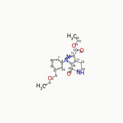 CCOCc1cccc(-n2nc(C(=O)OCC)c3c2C(=O)NCC3)c1